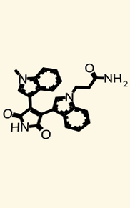 Cn1cc(C2=C(c3cn(CCC(N)=O)c4ccccc34)C(=O)NC2=O)c2ccccc21